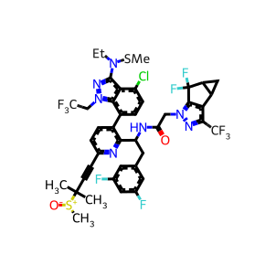 CCN(SC)c1nn(CC(F)(F)F)c2c(-c3ccc(C#CC(C)(C)[S+](C)[O-])nc3C(Cc3cc(F)cc(F)c3)NC(=O)Cn3nc(C(F)(F)F)c4c3C(F)(F)C3CC43)ccc(Cl)c12